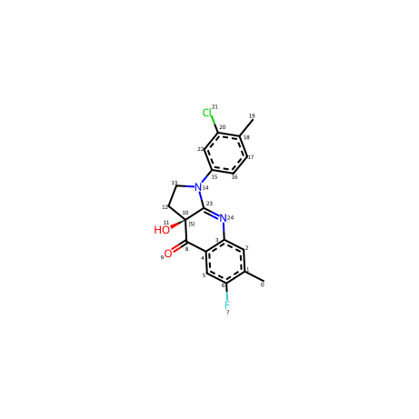 Cc1cc2c(cc1F)C(=O)[C@]1(O)CCN(c3ccc(C)c(Cl)c3)C1=N2